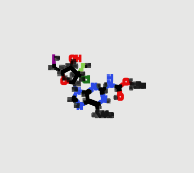 CNc1nc(NC(=O)OC(C)(C)C)nc2c1ncn2[C@@H]1O[C@H](CI)[C@@H](O)[C@]1(F)Cl